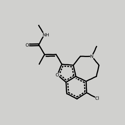 CNC(=O)/C(C)=C/c1oc2ccc(Cl)c3c2c1CN(C)CC3